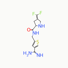 N=C(N)c1csc(CNC(=O)C2CC(=C(F)F)CN2)c1